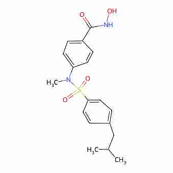 CC(C)Cc1ccc(S(=O)(=O)N(C)c2ccc(C(=O)NO)cc2)cc1